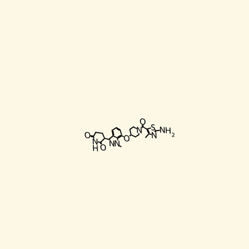 Cc1nc(N)sc1C(=O)N1CCC(Oc2cccc3c(C4CCC(=O)NC4=O)nn(C)c23)CC1